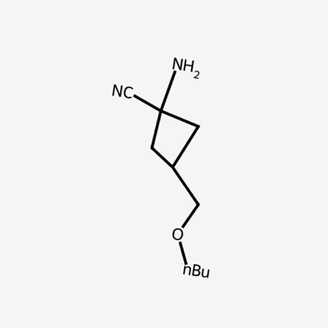 CCCCOCC1CC(N)(C#N)C1